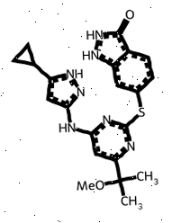 COC(C)(C)c1cc(Nc2cc(C3CC3)[nH]n2)nc(Sc2ccc3c(=O)[nH][nH]c3c2)n1